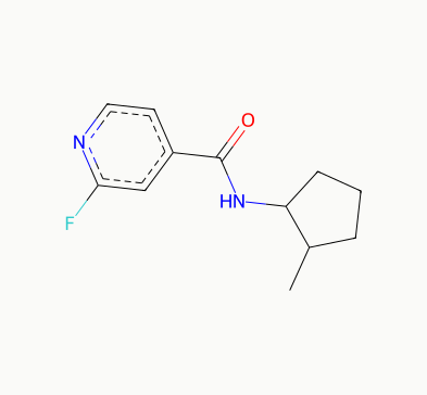 CC1CCCC1NC(=O)c1ccnc(F)c1